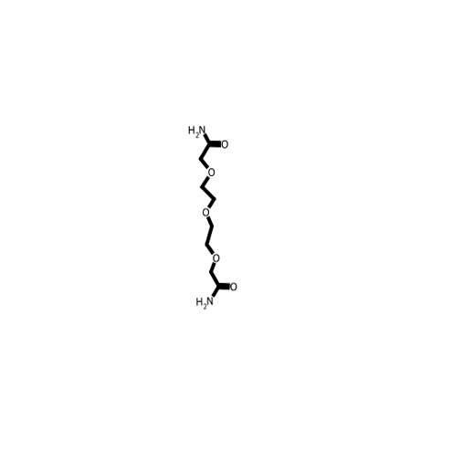 NC(=O)COCCOCCOCC(N)=O